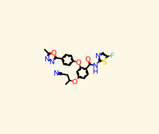 Cc1nnc(-c2ccc(Oc3cc(OC(C)CC#N)ccc3C(=O)Nc3ncc(F)s3)cc2)o1